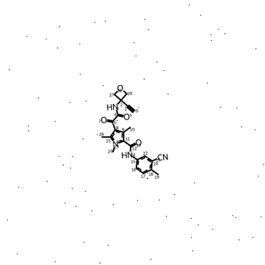 C#CC1(NC(=O)C(=O)c2c(C)c(C(=O)Nc3ccc(C)c(C#N)c3)n(C)c2C)COC1